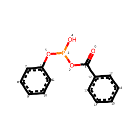 O=C(OP(O)Oc1ccccc1)c1ccccc1